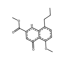 CCCc1ccc(OC)c2c(=O)cc(C(=O)OC)[nH]c12